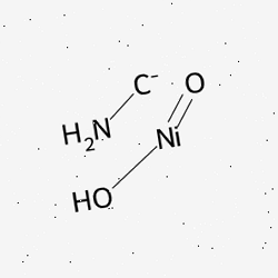 [CH2-]N.[O]=[Ni][OH]